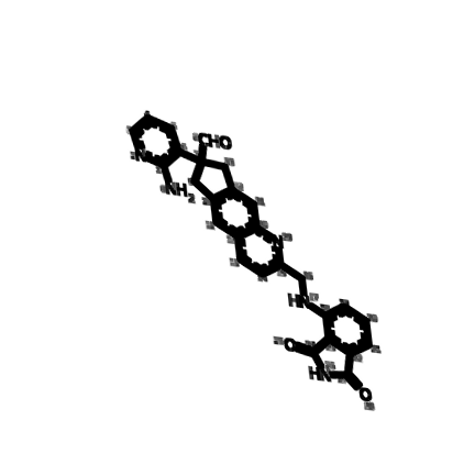 Nc1ncccc1C1(C=O)Cc2cc3ccc(CNc4cccc5c4C(=O)NC5=O)nc3cc2C1